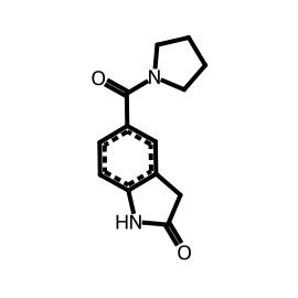 O=C1Cc2cc(C(=O)N3CCCC3)ccc2N1